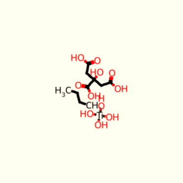 CCCC.O=C(O)CC(O)(CC(=O)O)C(=O)O.[OH][Ti]([OH])([OH])[OH]